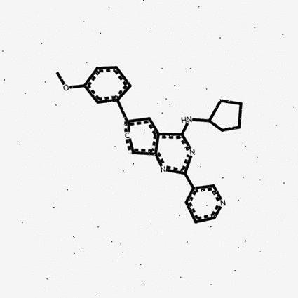 COc1cccc(-c2ccc3nc(-c4cccnc4)nc(NC4CCCC4)c3c2)c1